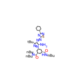 CCCCNC(=O)c1cc(C(=O)N(CCCC)CCCC)cc(-n2nc(C(C)(C)C)c(N=Nc3nc(-c4ccccc4)ns3)c2N)c1